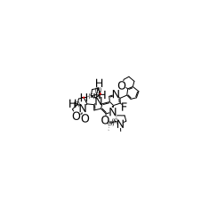 C[C@H](Oc1nc2c(F)c(-c3cccc4c3OCCC4)ncc2c2c1cc(C1CC[C@H]3COC(=O)N13)n2[C@@H]1[C@@H]2CC[C@H]1C2)[C@@H]1CCCN1C